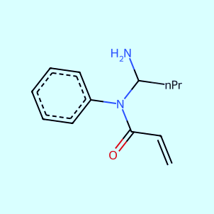 C=CC(=O)N(c1ccccc1)C(N)CCC